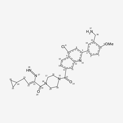 COc1ccc(-c2cc(Cl)c3ccc(C(=O)N4CCN(C(=O)/C(=C/CC5CC5)N=N)CC4)cc3n2)cc1CN